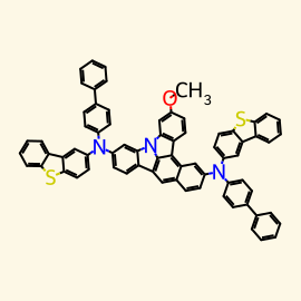 COc1ccc2c3c4cc(N(c5ccc(-c6ccccc6)cc5)c5ccc6sc7ccccc7c6c5)ccc4cc4c5ccc(N(c6ccc(-c7ccccc7)cc6)c6ccc7sc8ccccc8c7c6)cc5n(c2c1)c43